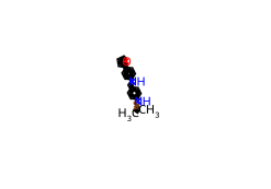 CC(C)SNC1CCC(CNc2ccc(-c3ccco3)cc2)CC1